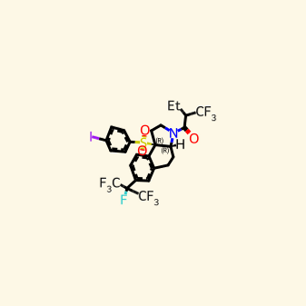 CCC(C(=O)N1CC[C@@]2(S(=O)(=O)c3ccc(I)cc3)c3ccc(C(F)(C(F)(F)F)C(F)(F)F)cc3CC[C@@H]12)C(F)(F)F